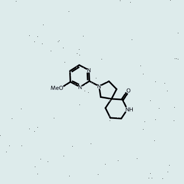 COc1ccnc(N2CCC3(CCCNC3=O)C2)n1